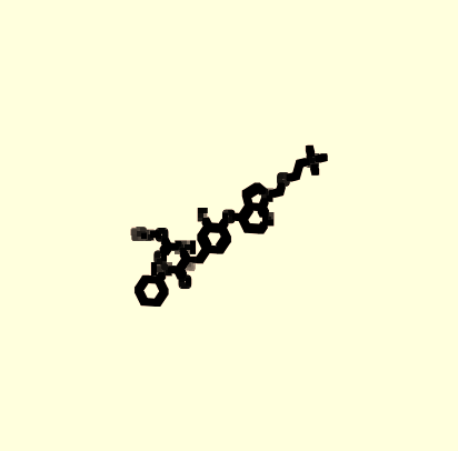 CC(C)(C)OC(=O)N[C@@H](Cc1ccc(Oc2ccnc3c2ccn3COCC[Si](C)(C)C)c(F)c1)C(=O)NC1CCCCC1